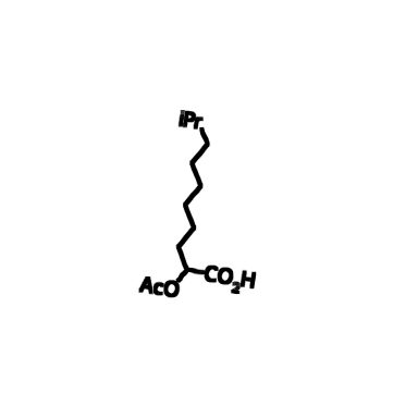 CC(=O)OC(CCCCCCC(C)C)C(=O)O